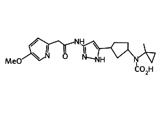 COc1ccc(CC(=O)Nc2cc(C3CCC(N(C(=O)O)C4(C)CC4)C3)[nH]n2)nc1